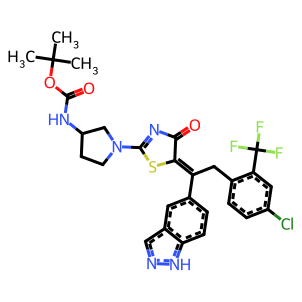 CC(C)(C)OC(=O)NC1CCN(C2=NC(=O)C(=C(Cc3ccc(Cl)cc3C(F)(F)F)c3ccc4[nH]ncc4c3)S2)C1